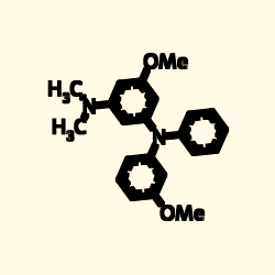 COc1cccc(N(c2ccccc2)c2cc(OC)cc(N(C)C)c2)c1